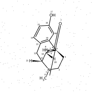 CN1CC[C@]23CC(=O)NC[C@H]2[C@H]1Cc1ccc(O)cc13